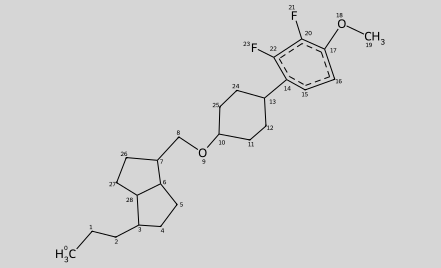 CCCC1CCC2C(COC3CCC(c4ccc(OC)c(F)c4F)CC3)CCC12